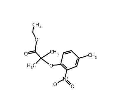 CCOC(=O)C(C)(C)Oc1ccc(C)cc1[N+](=O)[O-]